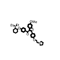 CCN(CC)C1CCCCC1Oc1ccc(C(=O)c2c(-c3ccc(OCCN4CCCC4)cc3)sc3cc(OC)ccc23)cc1